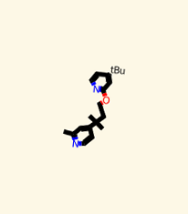 Cc1cc(C(C)(C)CCOc2cc(C(C)(C)C)ccn2)ccn1